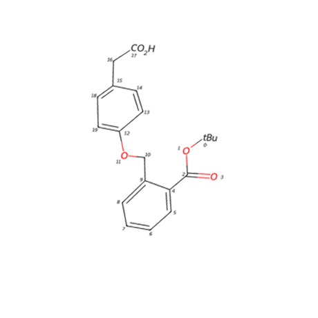 CC(C)(C)OC(=O)c1ccccc1COc1ccc(CC(=O)O)cc1